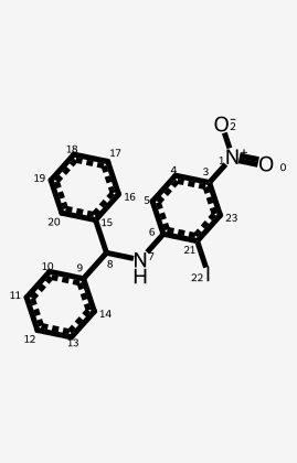 O=[N+]([O-])c1ccc(NC(c2ccccc2)c2ccccc2)c(I)c1